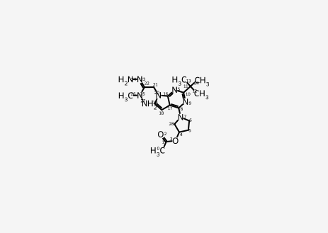 CC(=O)OC1CCN(c2nc(C(C)(C)C)nc3c2ccn3C/C(=N/N)N(C)N)C1